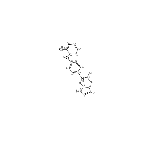 CC(C)N(Cc1cnc[nH]1)c1ccc(Oc2ccccc2Cl)cc1